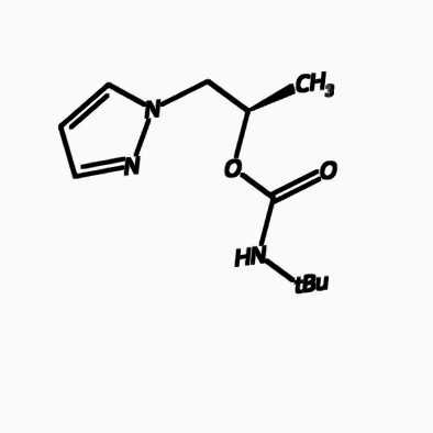 C[C@H](Cn1cccn1)OC(=O)NC(C)(C)C